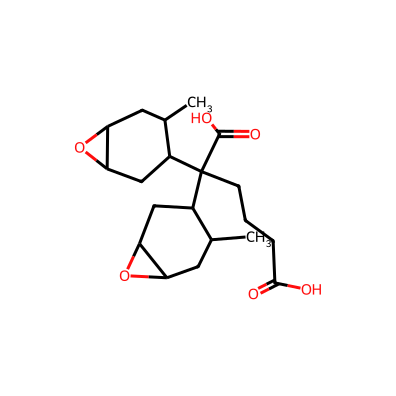 CC1CC2OC2CC1C(CCCC(=O)O)(C(=O)O)C1CC2OC2CC1C